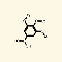 CCOc1cc(B(O)O)cc(OCC)c1OCC